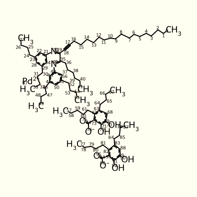 CCCCCCCCCCCCCCCCCC#CC(=Nc1cc(CCCC)cc(CCCC)c1)C(CCCCCC)=Nc1cc(CCCC)cc(CCCC)c1.CCCCCc1c(CCCC)cc(O)c(O)c1C(=O)[O-].CCCCCc1c(CCCC)cc(O)c(O)c1C(=O)[O-].[Pd+2]